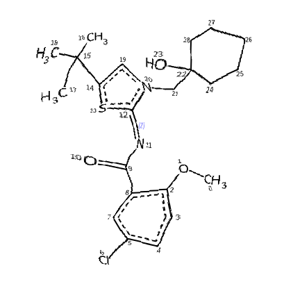 COc1ccc(Cl)cc1C(=O)/N=c1\sc(C(C)(C)C)cn1CC1(O)CCCCC1